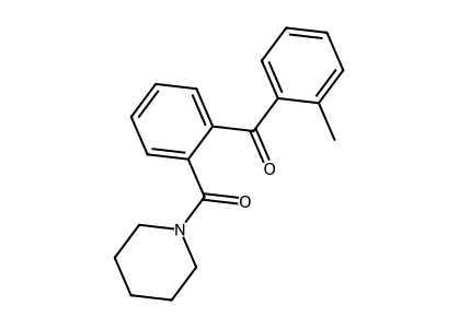 Cc1ccccc1C(=O)c1ccccc1C(=O)N1CCCCC1